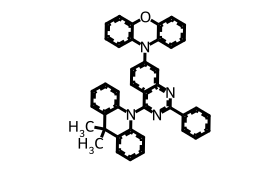 CC1(C)c2ccccc2N(c2nc(-c3ccccc3)nc3cc(N4c5ccccc5Oc5ccccc54)ccc23)c2ccccc21